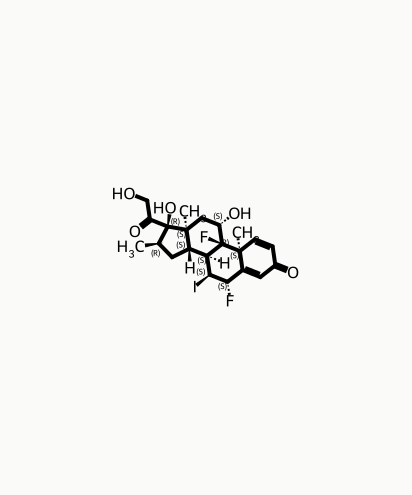 C[C@@H]1C[C@H]2[C@@H]3[C@H](I)[C@@H](F)C4=CC(=O)C=C[C@]4(C)[C@@]3(F)[C@@H](O)C[C@]2(C)[C@@]1(O)C(=O)CO